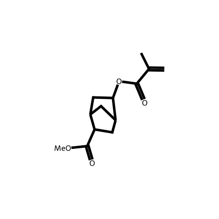 [CH2]OC(=O)C1CC2CC1CC2OC(=O)C(=C)C